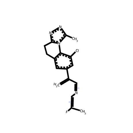 C=C(/C=N\C=C(/C)F)c1cc(Cl)c2c(c1)CCc1nnc(C)n1-2